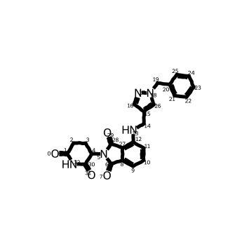 O=C1CCC(N2C(=O)c3cccc(NCc4cnn(Cc5ccccc5)c4)c3C2=O)C(=O)N1